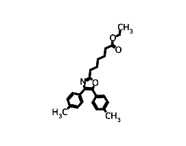 CCOC(=O)CCCCCc1nc(-c2ccc(C)cc2)c(-c2ccc(C)cc2)o1